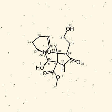 COC(=O)C1([C@@H](O)[C@@H]2C=CCCC2)NC(=O)C(CCO)C1(C)O